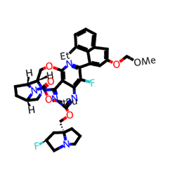 CCc1cccc2cc(OCOC)cc(-c3nc4c5c(nc(OC[C@]67CCCN6C[C@@H](F)C7)nc5c3F)N3C[C@@H]5CC[C@H]([C@@H]3CO4)N5C(=O)OC(C)(C)C)c12